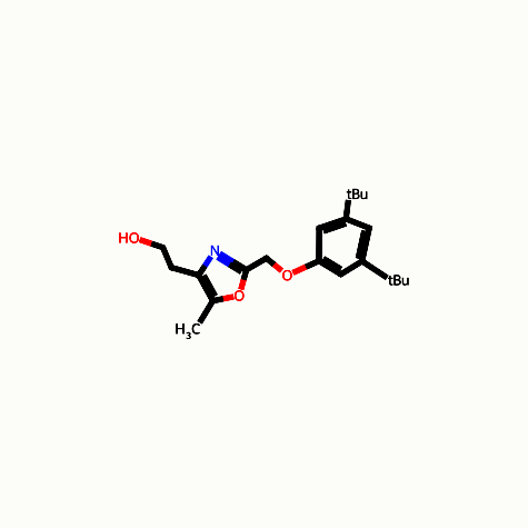 Cc1oc(COc2cc(C(C)(C)C)cc(C(C)(C)C)c2)nc1CCO